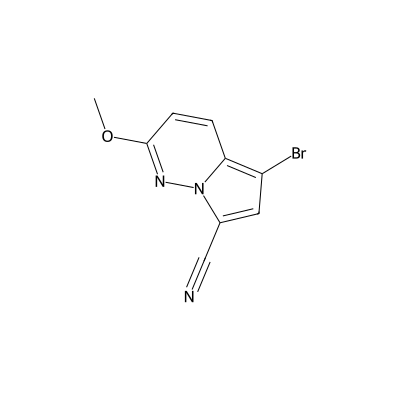 COc1ccc2c(Br)cc(C#N)n2n1